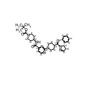 CC(C)(C)OC(=O)N1CCC(NC(=O)c2ccnc(N3CCC(C(=O)N4N=CC[C@H]4c4ccccc4)CC3)n2)CC1